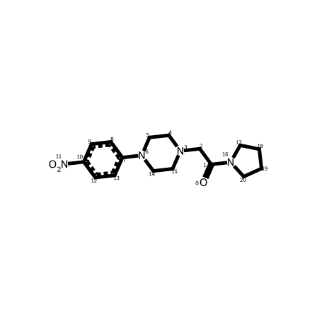 O=C(CN1CCN(c2ccc([N+](=O)[O-])cc2)CC1)N1CCCC1